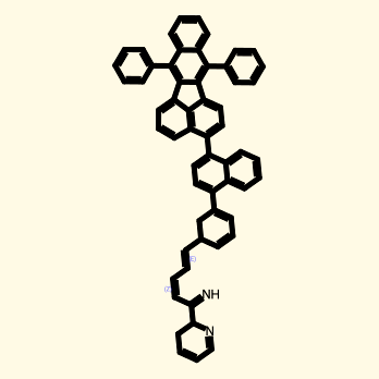 N=C(/C=C\C=C\C1C=CC=C(c2ccc(-c3ccc4c5c(cccc35)-c3c-4c(-c4ccccc4)c4ccccc4c3-c3ccccc3)c3ccccc23)C1)C1CC=CC=N1